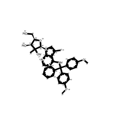 COc1ccc(C(Nc2ncnc3c2c(F)cn3[C@@H]2O[C@H](CO)[C@H](O)C2(C)O)(c2ccccc2)c2ccc(OC)cc2)cc1